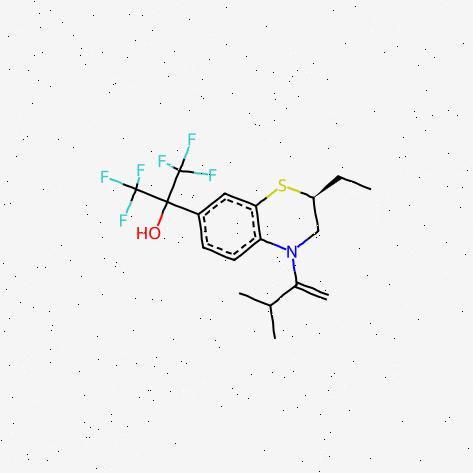 C=C(C(C)C)N1C[C@H](CC)Sc2cc(C(O)(C(F)(F)F)C(F)(F)F)ccc21